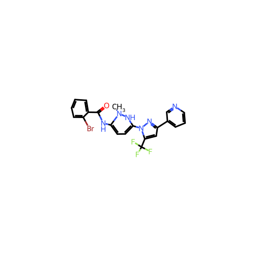 CN1NC(n2nc(-c3cccnc3)cc2C(F)(F)F)=CC=C1NC(=O)c1ccccc1Br